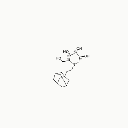 OC[C@H]1[C@@H](O)[C@H](O)[C@@H](O)CN1CCC12CC3CC(CC(C3)C1)C2